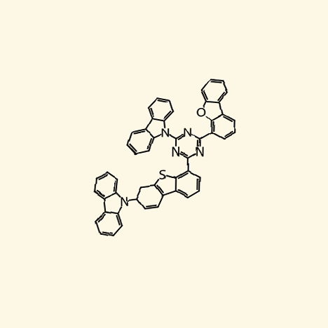 C1=CC(n2c3ccccc3c3ccccc32)Cc2sc3c(-c4nc(-c5cccc6c5oc5ccccc56)nc(-n5c6ccccc6c6ccccc65)n4)cccc3c21